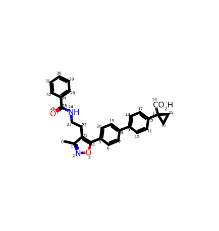 Cc1noc(-c2ccc(-c3ccc(C4(C(=O)O)CC4)cc3)cc2)c1CCNC(=O)c1ccccc1